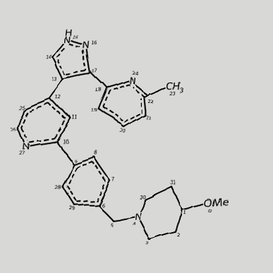 COC1CCN(Cc2ccc(-c3cc(-c4c[nH]nc4-c4cccc(C)n4)ccn3)cc2)CC1